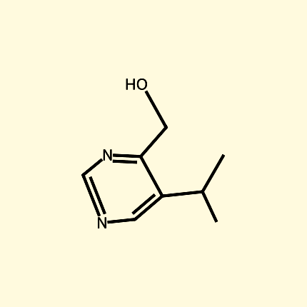 CC(C)c1cncnc1CO